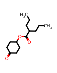 CCCC(CCC)C(=O)OC1CCC(=O)CC1